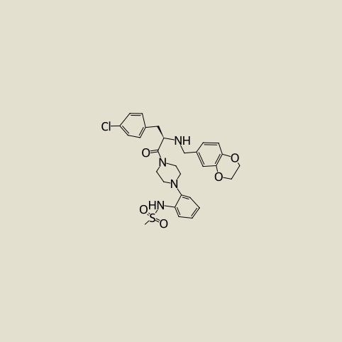 CS(=O)(=O)Nc1ccccc1N1CCN(C(=O)[C@@H](Cc2ccc(Cl)cc2)NCc2ccc3c(c2)OCCO3)CC1